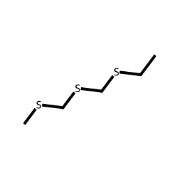 CCSCSCSC